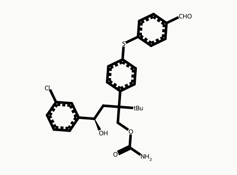 CC(C)(C)C(COC(N)=O)(C[C@@H](O)c1cccc(Cl)c1)c1ccc(Sc2ccc(C=O)cc2)cc1